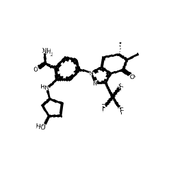 CC1C(=O)c2c(C(F)(F)F)nn(-c3ccc(C(N)=O)c(NC4CCC(O)C4)c3)c2C[C@@H]1C